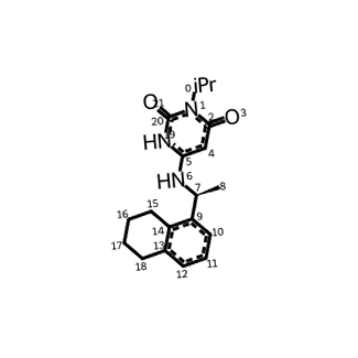 CC(C)n1c(=O)cc(N[C@@H](C)c2cccc3c2CCCC3)[nH]c1=O